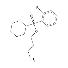 CCCCOP(=O)(c1ccccc1F)C1CCCCC1